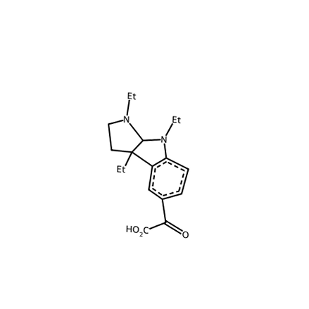 CCN1CCC2(CC)c3cc(C(=O)C(=O)O)ccc3N(CC)C12